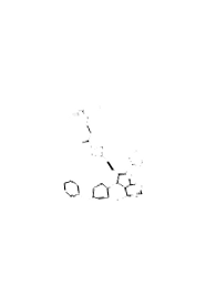 CN(C)C/C=C/C(=O)N1CC(C#Cc2c(-c3ccc(Oc4ccccc4)cc3)c3c(N)ncnc3n2C2CCOC2)C1